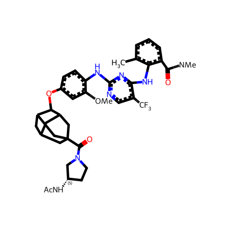 CNC(=O)c1cccc(C)c1Nc1nc(Nc2ccc(OC3C4CC5CC3CC(C(=O)N3CC[C@H](NC(C)=O)C3)(C5)C4)cc2OC)ncc1C(F)(F)F